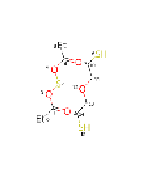 CCC(=O)OSOC(=O)CC.SCCOCCS